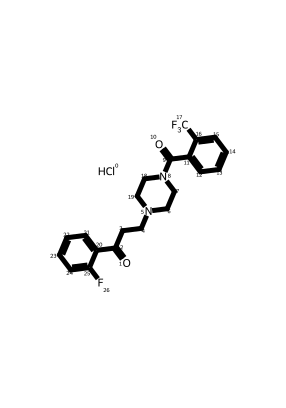 Cl.O=C(CCN1CCN(C(=O)c2ccccc2C(F)(F)F)CC1)c1ccccc1F